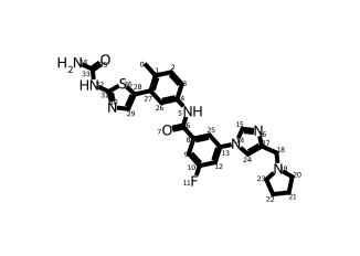 Cc1ccc(NC(=O)c2cc(F)cc(-n3cnc(CN4CCCC4)c3)c2)cc1-c1cnc(NC(N)=O)s1